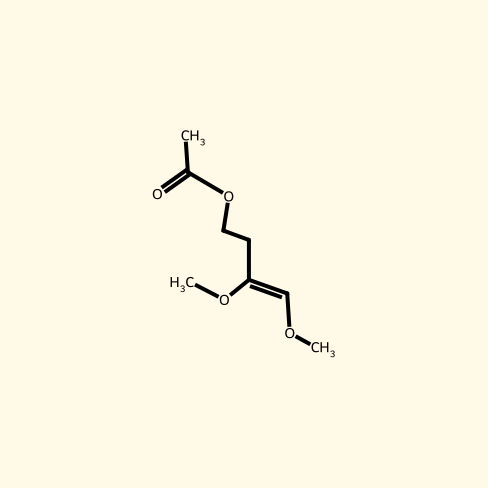 COC=C(CCOC(C)=O)OC